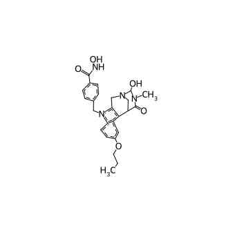 CCCOc1ccc2c(c1)c1c(n2Cc2ccc(C(=O)NO)cc2)CN2CC1C(=O)N(C)C2O